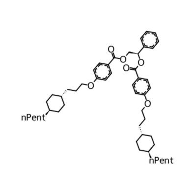 CCCCC[C@H]1CC[C@H](CCCOc2ccc(C(=O)OC[C@H](OC(=O)c3ccc(OCCC[C@H]4CC[C@H](CCCCC)CC4)cc3)c3ccccc3)cc2)CC1